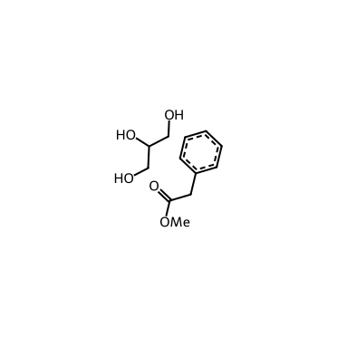 COC(=O)Cc1ccccc1.OCC(O)CO